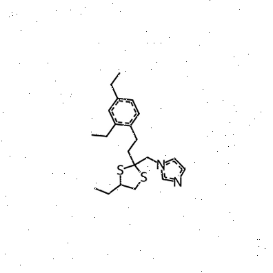 CCc1ccc(CCC2(Cn3ccnc3)SCC(CC)S2)c(CC)c1